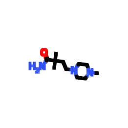 CN1CCN(CCC(C)(C)C(N)=O)CC1